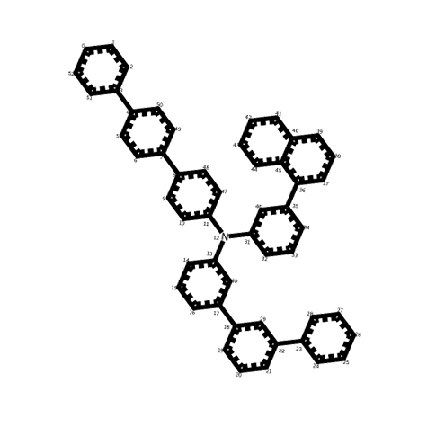 c1ccc(-c2ccc(-c3ccc(N(c4cccc(-c5cccc(-c6ccccc6)c5)c4)c4cccc(-c5cccc6ccccc56)c4)cc3)cc2)cc1